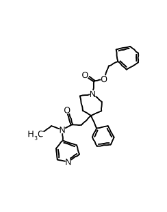 CCN(C(=O)CC1(c2ccccc2)CCN(C(=O)OCc2ccccc2)CC1)c1ccncc1